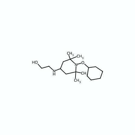 CC1(C)CC(NCCO)CC(C)(C)N1OC1CCCCC1